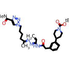 C=C/C(=N\N=C(/C)CCCCn1cc(C(=O)NC)nn1)NC(=O)Cc1cccc(C2CCN(C(=O)OC(C)(C)C)CC2)c1